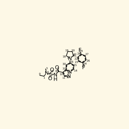 CCN(C)S(=O)(=O)NC(=O)c1cnn2ccc(N3CCC[C@@H]3c3cc(F)ccc3F)cc12